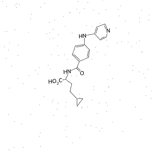 O=C(NC(CCC1CC1)C(=O)O)c1ccc(Nc2ccncc2)cc1